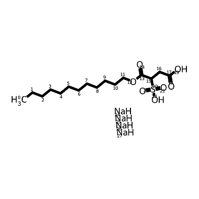 CCCCCCCCCCCCOC(=O)C(CC(=O)O)S(=O)(=O)O.[NaH].[NaH].[NaH].[NaH]